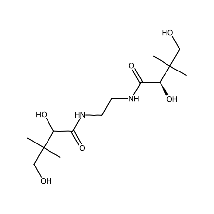 CC(C)(CO)C(O)C(=O)NCCNC(=O)[C@H](O)C(C)(C)CO